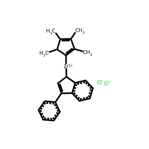 CC1=C(C)C(C)[C]([Zr+2][CH]2C=C(c3ccccc3)c3ccccc32)=C1C.[Cl-].[Cl-]